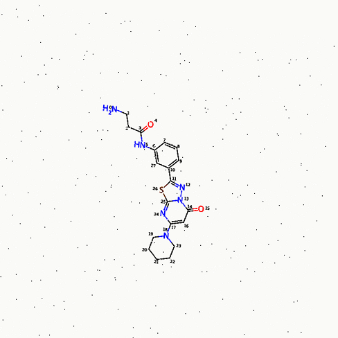 NCCC(=O)Nc1cccc(-c2nn3c(=O)cc(N4CCCCC4)nc3s2)c1